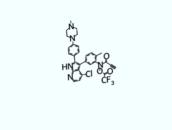 C#CC(=O)N(OC(=O)C(F)(F)F)c1cc(-c2c(-c3ccc(N4CCN(C)CC4)cc3)[nH]c3nccc(Cl)c23)ccc1C